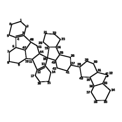 C1CCC2=C(C1)C1CCCC3C4C5=C(CCCC5)C5(C6CCCCC6C6CC(C7CCC8SC9CCCCC9C8C7)CCC65)C4CC2C13